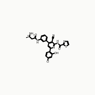 C[C@@H](N)CC(=O)Nc1cccc(-c2cc(-c3ccc(Cl)cc3O)nc(NC(=O)c3nccs3)c2C#N)c1